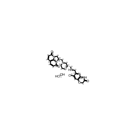 Cl.Cl.O=C1COc2cc(Cl)c(CNC[C@H]3CN(C[C@@H]4Cn5c(=O)ccc6ccc(=O)n4c65)CCO3)nc2N1